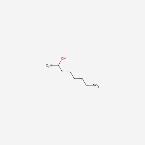 O=[N+]([O-])CCCCCC(O)[N+](=O)[O-]